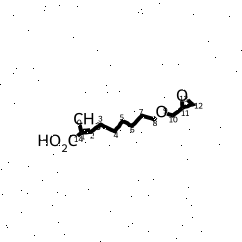 CC(=CCCCCCCOCC1CO1)C(=O)O